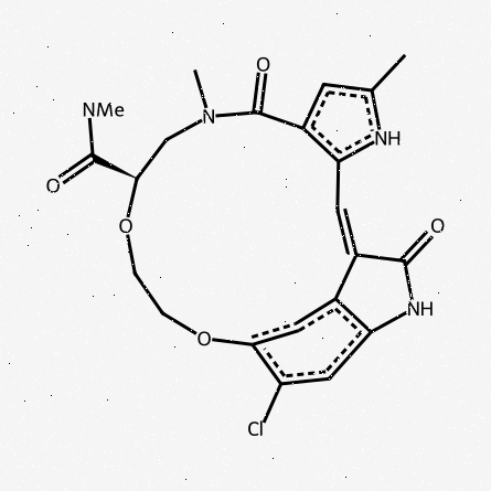 CNC(=O)[C@H]1CN(C)C(=O)c2cc(C)[nH]c2/C=C2\C(=O)Nc3cc(Cl)c(cc32)OCCO1